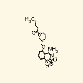 CCCCC(=O)N1CCC[C@H](COc2cccc3c2C(N)=NS(=O)(=O)N3)C1